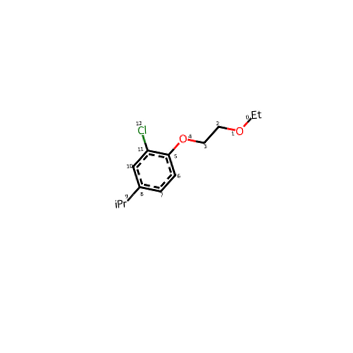 CCOCCOc1ccc(C(C)C)cc1Cl